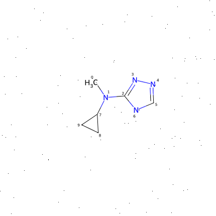 CN(C1=NN=C[N]1)C1CC1